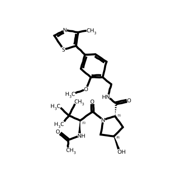 COc1cc(-c2scnc2C)ccc1CNC(=O)[C@@H]1C[C@@H](O)CN1C(=O)[C@@H](NC(C)=O)C(C)(C)C